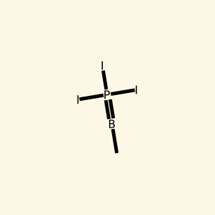 CB=P(I)(I)I